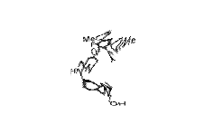 COc1cc(OC)c(F)c(COc2cnc(Nc3ccc4cn(CCO)nc4c3)nc2)c1F